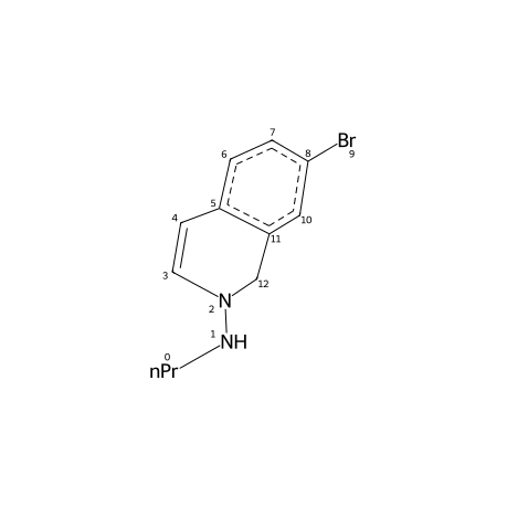 CCCNN1C=Cc2ccc(Br)cc2C1